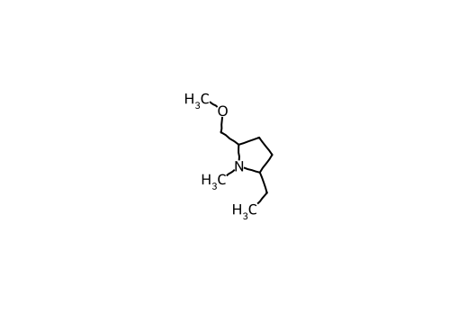 CCC1CCC(COC)N1C